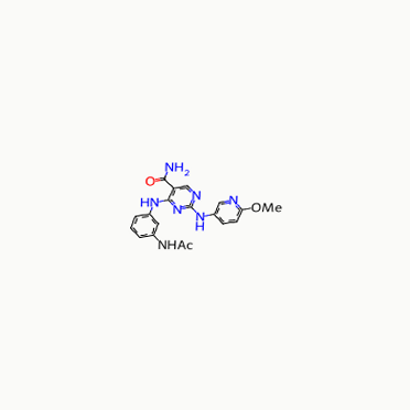 COc1ccc(Nc2ncc(C(N)=O)c(Nc3cccc(NC(C)=O)c3)n2)cn1